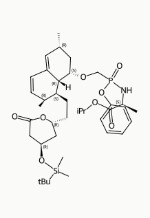 CC(C)OC(=O)[C@H](C)NP(=O)(CO[C@H]1C[C@@H](C)C=C2C=C[C@H](C)[C@H](CC[C@@H]3C[C@@H](O[Si](C)(C)C(C)(C)C)CC(=O)O3)[C@H]21)Oc1ccccc1